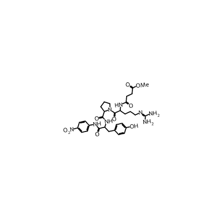 COC(=O)CCC(=O)NC(CCCN=C(N)N)C(=O)N1CCCC1C(=O)NC(Cc1ccc(O)cc1)C(=O)Nc1ccc([N+](=O)[O-])cc1